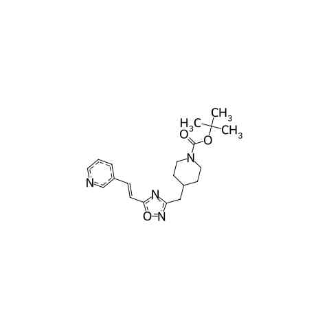 CC(C)(C)OC(=O)N1CCC(Cc2noc(C=Cc3cccnc3)n2)CC1